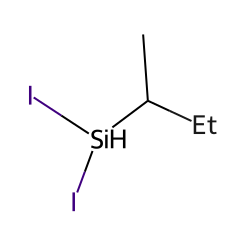 CCC(C)[SiH](I)I